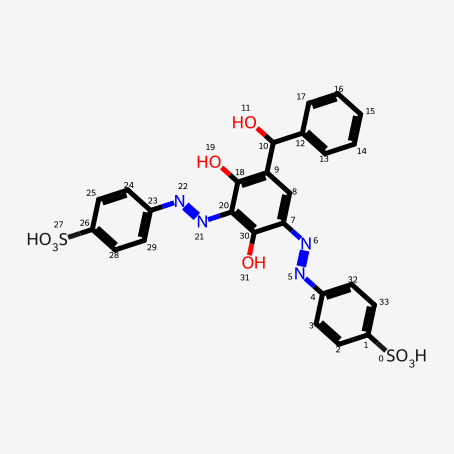 O=S(=O)(O)c1ccc(/N=N/c2cc(C(O)c3ccccc3)c(O)c(/N=N/c3ccc(S(=O)(=O)O)cc3)c2O)cc1